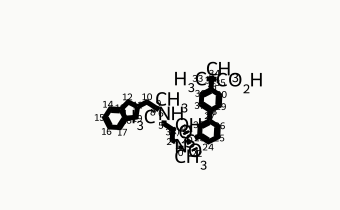 CN(C[C@H](O)CNC(C)(C)CC1Cc2ccccc2C1)S(=O)(=O)c1cccc(-c2ccc(C(C)(C)C(=O)O)cc2)c1